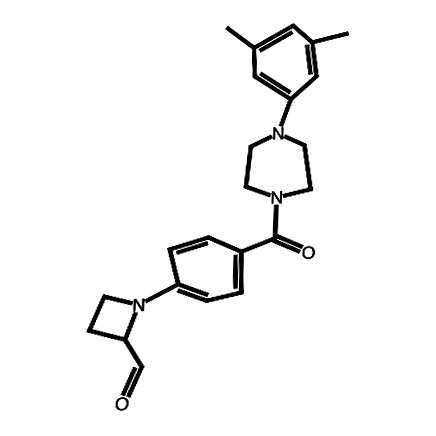 Cc1cc(C)cc(N2CCN(C(=O)c3ccc(N4CCC4C=O)cc3)CC2)c1